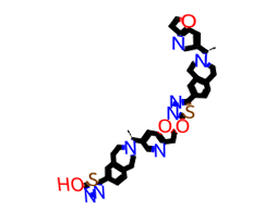 C[C@H](c1cnc2c(c1)OC(Oc1nnc(-c3ccc4c(c3)CCN([C@@H](C)c3cnc5c(c3)OCC5)CC4)s1)C2)N1CCc2ccc(-c3nnc(O)s3)cc2CC1